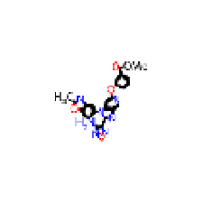 COC(=O)c1cccc(Oc2cc3c(cn2)nc(-c2nonc2N)n3-c2ccc3oc(C)nc3c2)c1